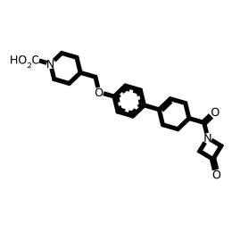 O=C1CN(C(=O)C2CC=C(c3ccc(OCC4CCN(C(=O)O)CC4)cc3)CC2)C1